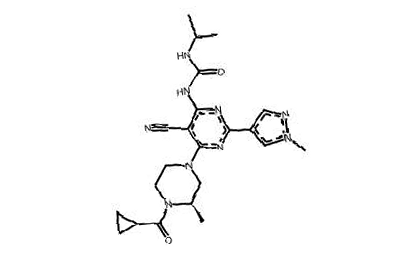 CC(C)NC(=O)Nc1nc(-c2cnn(C)c2)nc(N2CCN(C(=O)C3CC3)[C@H](C)C2)c1C#N